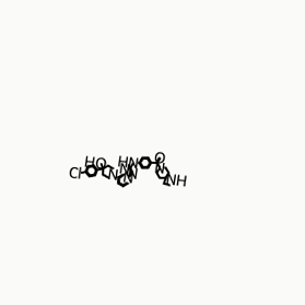 O=C(c1ccc(Nc2nc3c(N4CCC(O)(c5ccc(Cl)cc5)CC4)cccn3n2)cc1)N1CCC2(CCN2)CC1